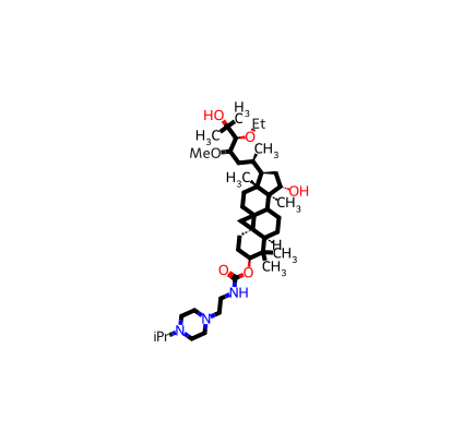 CCO[C@@H](C(C[C@@H](C)[C@H]1C[C@H](O)[C@@]2(C)C3CC[C@H]4C(C)(C)[C@@H](OC(=O)NCCN5CCN(C(C)C)CC5)CC[C@@]45CC35CC[C@]12C)OC)C(C)(C)O